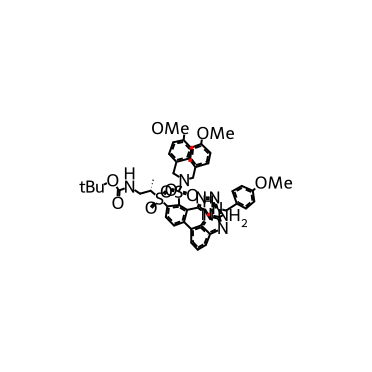 COc1ccc(CN(Cc2ccc(OC)cc2)S(=O)(=O)c2c(S(=O)(=O)[C@@H](C)CNC(=O)OC(C)(C)C)ccc(-c3cccc4nc(N)[nH]c34)c2-c2nnn(Cc3ccc(OC)cc3)n2)cc1